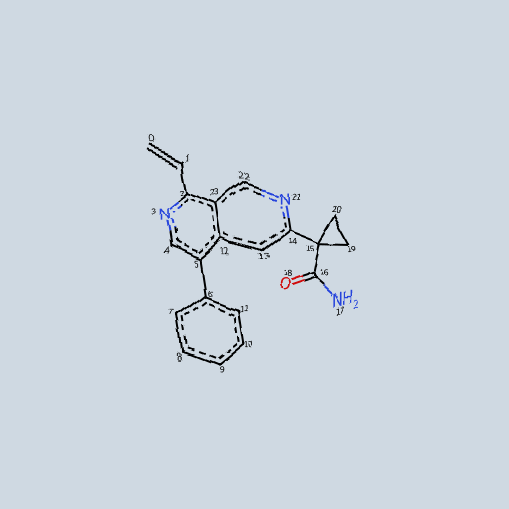 C=Cc1ncc(-c2ccccc2)c2cc(C3(C(N)=O)CC3)ncc12